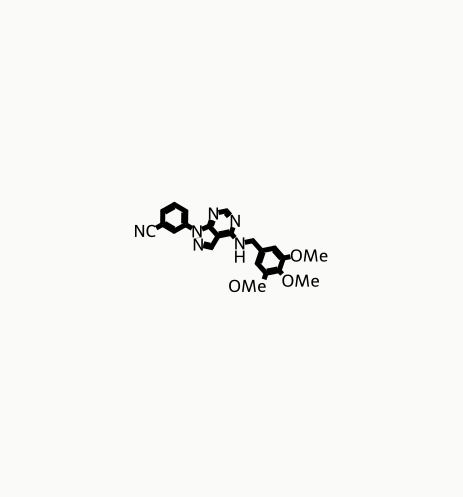 COc1cc(CNc2ncnc3c2cnn3-c2cccc(C#N)c2)cc(OC)c1OC